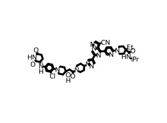 CCC1(C(=O)NC(C)C)CCN(c2ccc(-c3nc(-c4cnn(C5CCN(C(=O)CC6(O)CCN(c7ccc(N[C@@H]8CCC(=O)NC8=O)cc7Cl)CC6)CC5)c4)cn4ncc(C#N)c34)cn2)CC1